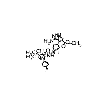 CCOC(=O)c1cn2ncnc(N)c2c1-c1ccc(NC(=O)Nc2cc(C(C)(C)C)nn2-c2ccc(F)cc2)cc1